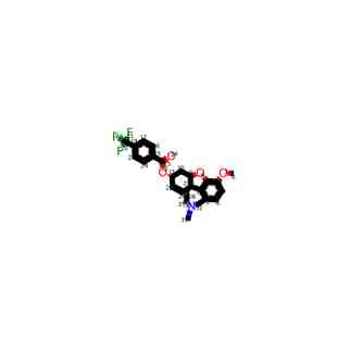 COc1ccc2c3c1OC1C[C@@H](OC(=O)c4ccc(C(F)(F)F)cc4)C=C[C@@]31CCN(C)C2